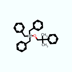 CC(C)(C[O][Hf]([CH2]c1ccccc1)([CH2]c1ccccc1)[CH2]c1ccccc1)c1ccccc1